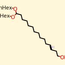 CCCCCCOC(CCCCCCCCCC/C=C/CCO)OCCCCCC